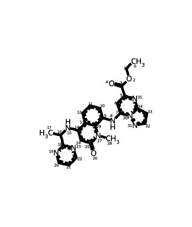 CCOC(=O)c1cc(Nc2cccc3c(NC(C)c4ncccn4)cc(=O)n(C)c23)n2nccc2n1